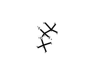 CC(C)(C)OC(F)(F)C(C)(C)C